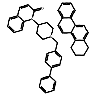 O=c1ccc2ccccc2n1C1CCN(Cc2ccc(-c3ccccc3)cc2)CC1.c1ccc2c(c1)ccc1c3c(ccc12)CCCC3